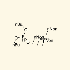 CCCCCCCCCC.CCCCCCCCCC.CCCCCCCCCC.CCCCCCCCCC.CCCCO[PH](=O)OCCCC